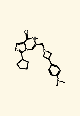 CN(C)c1ccc(C2CN(Cc3cn4c(C5CCCC5)ncc4c(=O)[nH]3)C2)cc1